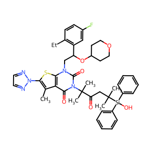 CCc1ccc(F)cc1C(Cn1c(=O)n(C(C)(C)C(=O)CC(C)(C)[Si](O)(c2ccccc2)c2ccccc2)c(=O)c2c(C)c(-n3nccn3)sc21)OC1CCOCC1